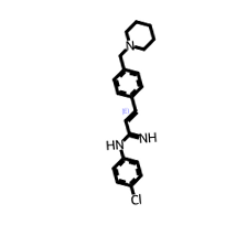 N=C(/C=C/c1ccc(CN2CCCCC2)cc1)Nc1ccc(Cl)cc1